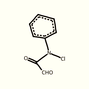 O=CC(=O)N(Cl)c1ccccc1